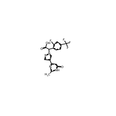 Cc1nc(-c2cnn(C(C(=O)O)c3ccc(C(F)(F)F)cc3F)c2)cc(=O)[nH]1